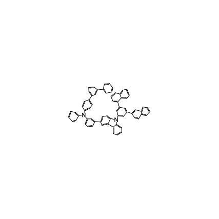 c1ccc(-c2cccc(-c3ccc(N(c4ccccc4)c4cccc(-c5ccc6c(c5)c5ccccc5n6-c5cc(-c6ccc7ccccc7c6)cc(-c6cccc7ccccc67)c5)c4)cc3)c2)cc1